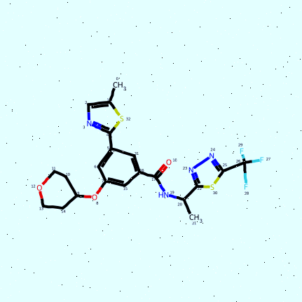 Cc1cnc(-c2cc(OC3CCOCC3)cc(C(=O)NC(C)c3nnc(C(F)(F)F)s3)c2)s1